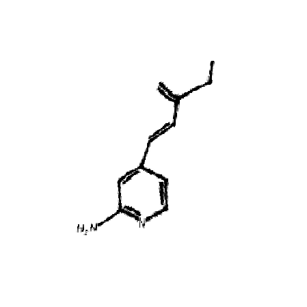 C=C(/C=C/c1ccnc(N)c1)CC